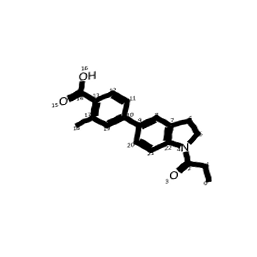 CCC(=O)N1CCc2cc(-c3ccc(C(=O)O)c(C)c3)ccc21